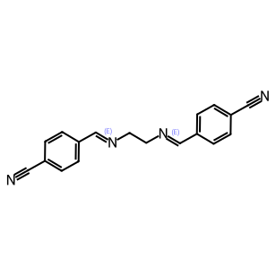 N#Cc1ccc(/C=N/CC/N=C/c2ccc(C#N)cc2)cc1